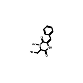 CC(=O)N1C(=O)/C(=C\c2ccccc2)NC(=O)C1CC#N